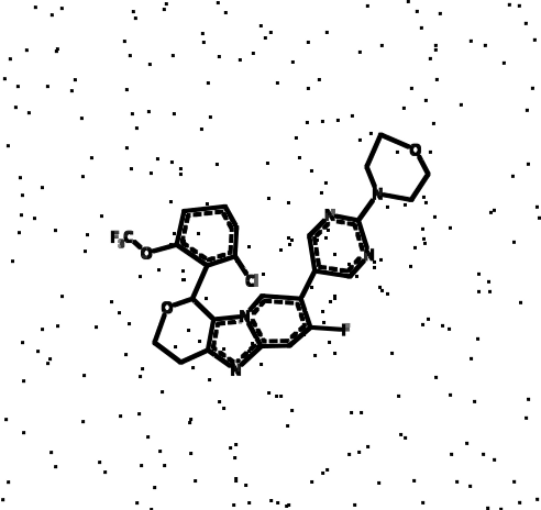 Fc1cc2nc3c(n2cc1-c1cnc(N2CCOCC2)nc1)C(c1c(Cl)cccc1OC(F)(F)F)OCC3